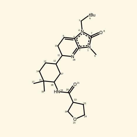 Cn1c2c(n(CC(C)(C)C)c1=O)=CCC(C1CCC(C)(C)C(NC(=O)C3CCOC3)C1)N=2